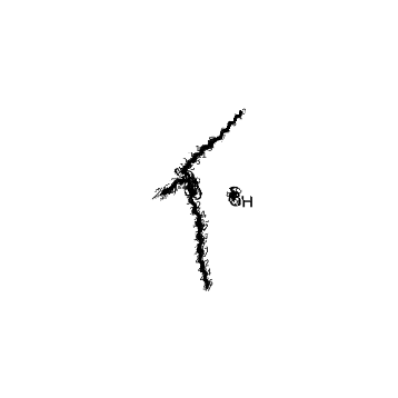 CCCCCCCCCCCCCCCCCC(=O)O[Si](CCCCC)(OC)OC(=O)CCCCCCCCCCCCCCCCC.OC=S